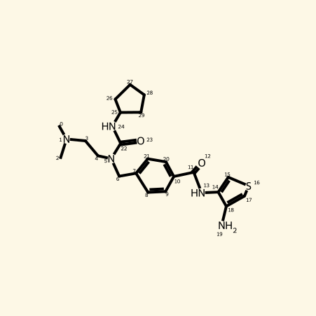 CN(C)CCN(Cc1ccc(C(=O)Nc2cscc2N)cc1)C(=O)NC1CCCC1